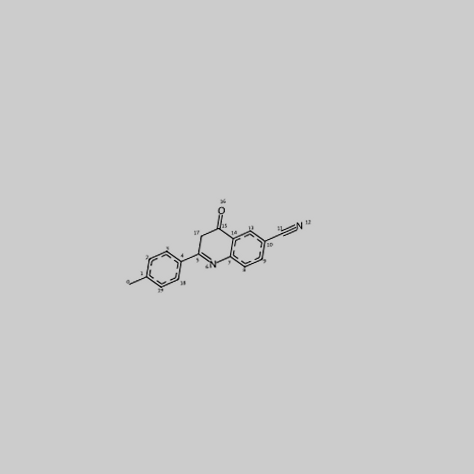 Cc1ccc(C2=Nc3ccc(C#N)cc3C(=O)C2)cc1